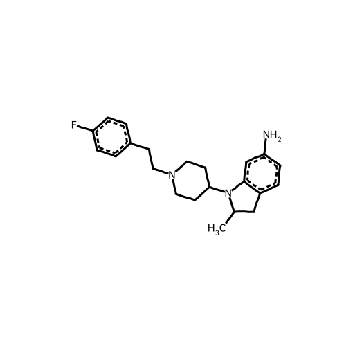 CC1Cc2ccc(N)cc2N1C1CCN(CCc2ccc(F)cc2)CC1